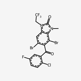 Cn1c(=O)n(CC(F)(F)F)c2cc(Br)c(C(=O)c3cc(F)ccc3Cl)c(Br)c21